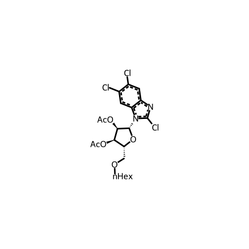 CCCCCCOC[C@H]1O[C@@H](n2c(Cl)nc3cc(Cl)c(Cl)cc32)[C@H](OC(C)=O)[C@@H]1OC(C)=O